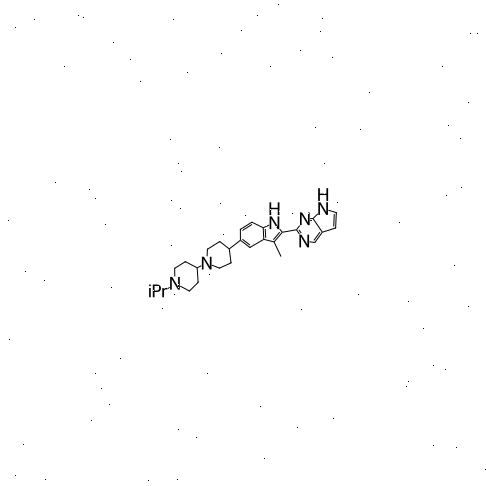 Cc1c(-c2ncc3cc[nH]c3n2)[nH]c2ccc(C3CCN(C4CCN(C(C)C)CC4)CC3)cc12